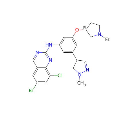 CCN1CC[C@@H](Oc2cc(Nc3ncc4cc(Br)cc(Cl)c4n3)cc(C3C=NN(C)C3)c2)C1